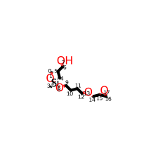 CO[Si](C)(CCCO)OCCCCOCC1CO1